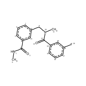 CNC(=O)c1cccc(CN(C)C(=O)c2cccc(F)c2)c1